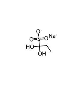 CCC(O)(O)S(=O)(=O)[O-].[Na+]